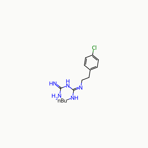 CCCCNC(=NCCc1ccc(Cl)cc1)NC(=N)N